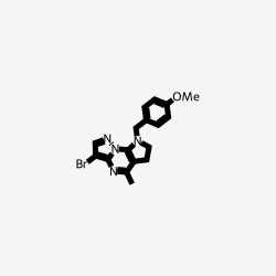 COc1ccc(CN2CCc3c(C)nc4c(Br)cnn4c32)cc1